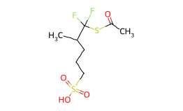 CC(=O)SC(F)(F)C(C)CCCS(=O)(=O)O